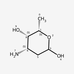 C[C@@H]1OC(O)C[C@H](N)[C@@H]1O